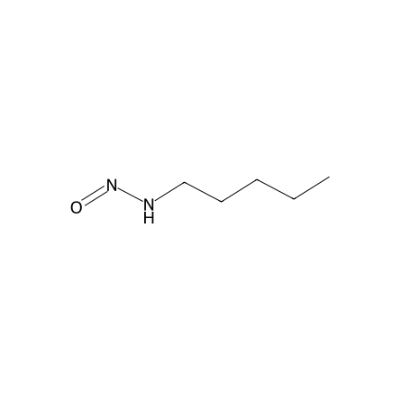 CCCCCNN=O